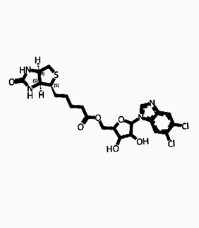 O=C1N[C@H]2[C@H](CS[C@H]2CCCCC(=O)OCC2OC(n3cnc4cc(Cl)c(Cl)cc43)C(O)C2O)N1